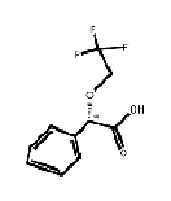 O=C(O)[C@@H](OCC(F)(F)F)c1ccccc1